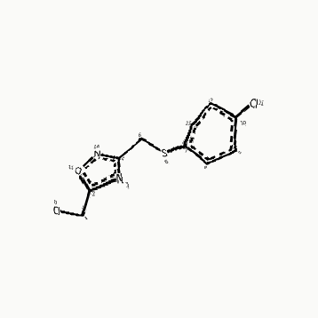 ClCc1nc(CSc2ccc(Cl)cc2)no1